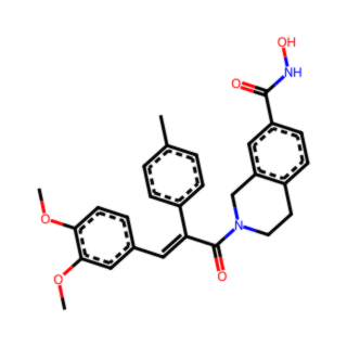 COc1ccc(/C=C(/C(=O)N2CCc3ccc(C(=O)NO)cc3C2)c2ccc(C)cc2)cc1OC